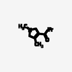 CC1=C(C(=O)C(C)C)CN(C)C1